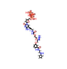 [N-]=[N+]=NC(COc1cccc(C(=O)NCCNC2CCCC2)c1)OCCOCC(=O)NCC#Cc1cn([C@H]2CC[C@@H](COP(=O)(O)OP(=O)(O)OP(=O)(O)O)O2)c(=O)nc1N